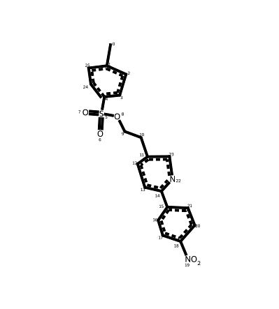 Cc1ccc(S(=O)(=O)OCCc2ccc(-c3ccc([N+](=O)[O-])cc3)nc2)cc1